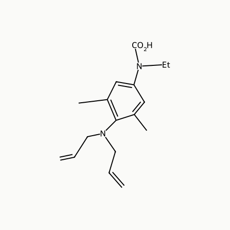 C=CCN(CC=C)c1c(C)cc(N(CC)C(=O)O)cc1C